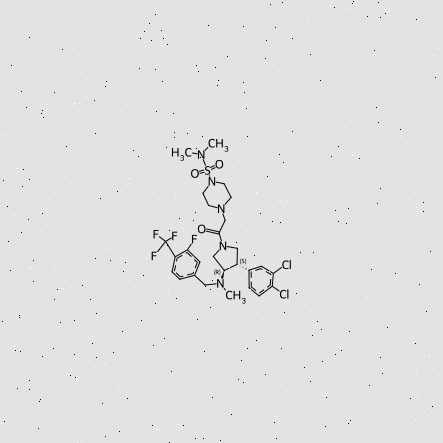 CN(Cc1ccc(C(F)(F)F)c(F)c1)[C@H]1CN(C(=O)CN2CCN(S(=O)(=O)N(C)C)CC2)C[C@@H]1c1ccc(Cl)c(Cl)c1